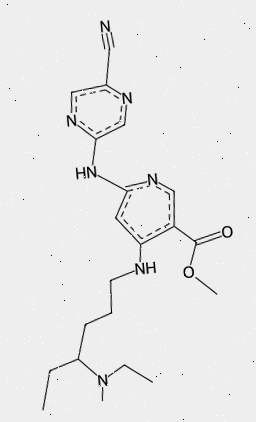 CCC(CCCNc1cc(Nc2cnc(C#N)cn2)ncc1C(=O)OC)N(C)CC